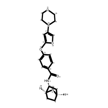 O=C(N[C@@H]1C[C@H]2CC[C@@H]1N2)c1ccc(Oc2cc(N3CCOCC3)co2)cc1